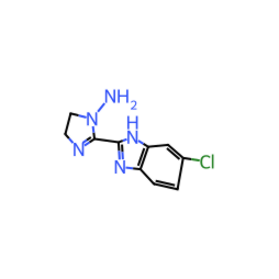 NN1CCN=C1c1nc2ccc(Cl)cc2[nH]1